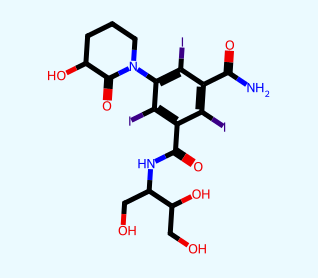 NC(=O)c1c(I)c(C(=O)NC(CO)C(O)CO)c(I)c(N2CCCC(O)C2=O)c1I